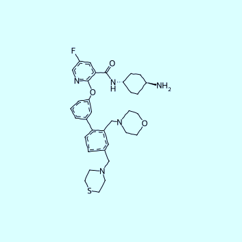 N[C@H]1CC[C@H](NC(=O)c2cc(F)cnc2Oc2cccc(-c3ccc(CN4CCSCC4)cc3CN3CCOCC3)c2)CC1